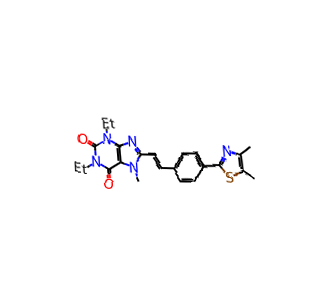 CCn1c(=O)c2c(nc(C=Cc3ccc(-c4nc(C)c(C)s4)cc3)n2C)n(CC)c1=O